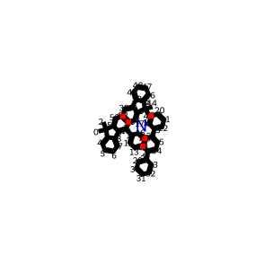 CC1(C)c2ccccc2-c2c(-c3ccccc3N(c3ccccc3-c3ccc(-c4ccccc4)cc3)c3cccc4c3C(C)(C)c3ccccc3-4)cccc21